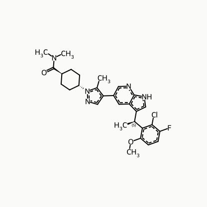 COc1ccc(F)c(Cl)c1[C@@H](C)c1c[nH]c2ncc(-c3cnn([C@H]4CC[C@H](C(=O)N(C)C)CC4)c3C)cc12